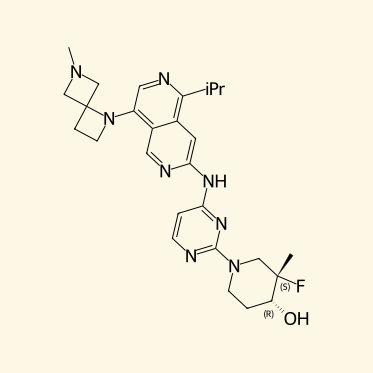 CC(C)c1ncc(N2CCC23CN(C)C3)c2cnc(Nc3ccnc(N4CC[C@@H](O)[C@@](C)(F)C4)n3)cc12